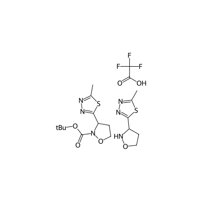 Cc1nnc(C2CCON2)s1.Cc1nnc(C2CCON2C(=O)OC(C)(C)C)s1.O=C(O)C(F)(F)F